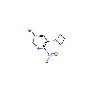 O=[N+]([O-])c1ncc(Br)cc1N1CCC1